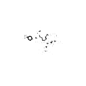 COC(=O)C1=C[C@H](N/C(=N\C(=O)OC(C)(C)C)NC(=O)OC(C)(C)C)[C@@H](C)[C@H]([C@H](OC(=O)Oc2ccc([N+](=O)[O-])cc2)[C@H]2COC(=O)O2)O1